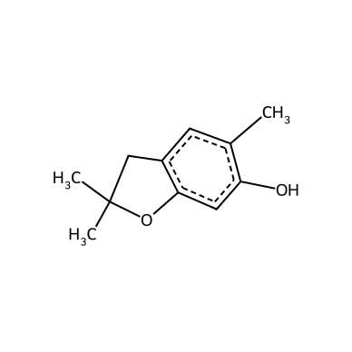 Cc1cc2c(cc1O)OC(C)(C)C2